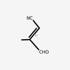 C/C(C=O)=C\C#N